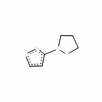 c1cc(N2CCCS2)no1